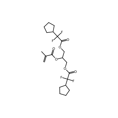 C=C(C)C(=O)OC(COC(=O)C(F)(F)C1CCCC1)COC(=O)C(F)(F)C1CCCC1